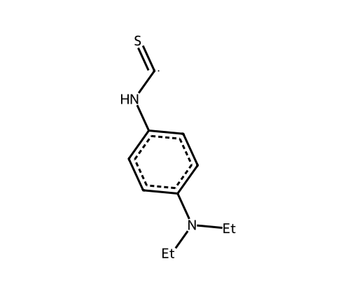 CCN(CC)c1ccc(N[C]=S)cc1